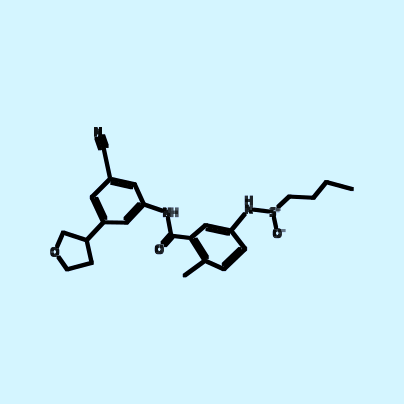 CCCC[S+]([O-])Nc1ccc(C)c(C(=O)Nc2cc(C#N)cc(C3CCOC3)c2)c1